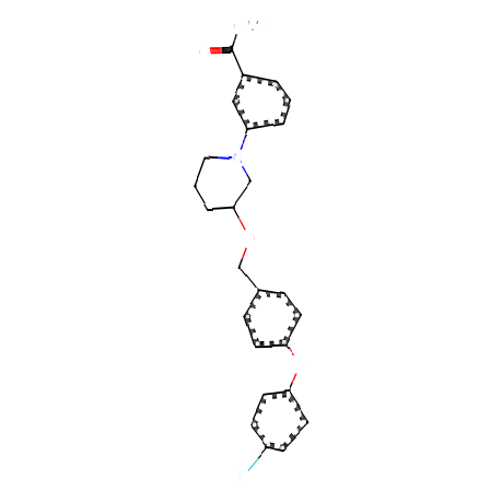 COC(=O)c1cccc(N2CCCC(OCc3ccc(Oc4ccc(F)cc4)cc3)C2)c1